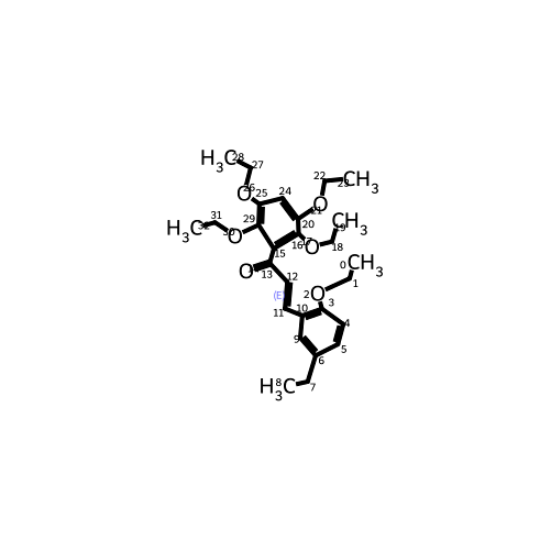 CCOc1ccc(CC)cc1/C=C/C(=O)c1c(OCC)c(OCC)cc(OCC)c1OCC